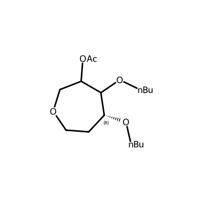 CCCCOC1C(OC(C)=O)COCC[C@H]1OCCCC